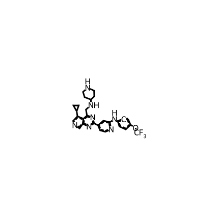 FC(F)(F)Oc1ccc(Nc2cc(-c3nc(CNC4CCNCC4)c4c(C5CC5)cncc4n3)ccn2)cc1